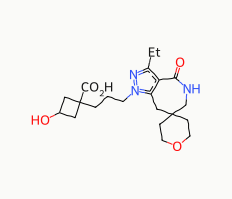 CCc1nn(CCCC2(C(=O)O)CC(O)C2)c2c1C(=O)NCC1(CCOCC1)C2